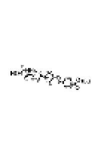 CC(CO)NC(=O)C1CC=C(c2ccc(OCC3CCN(C(=O)OC(C)(C)C)CC3)nc2)CC1